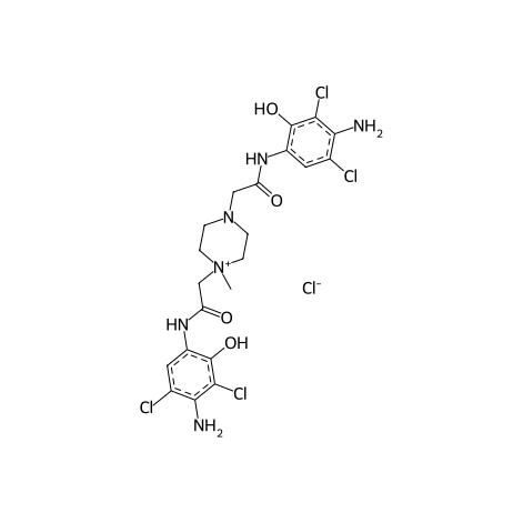 C[N+]1(CC(=O)Nc2cc(Cl)c(N)c(Cl)c2O)CCN(CC(=O)Nc2cc(Cl)c(N)c(Cl)c2O)CC1.[Cl-]